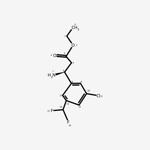 CCOC(=O)C[C@H](N)c1cc(Cl)cc(C(F)F)c1